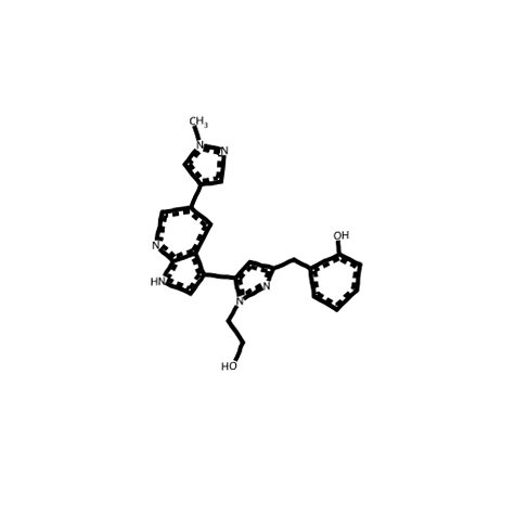 Cn1cc(-c2cnc3[nH]cc(-c4cc(Cc5ccccc5O)nn4CCO)c3c2)cn1